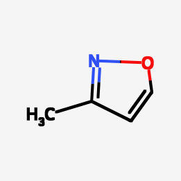 Cc1ccon1